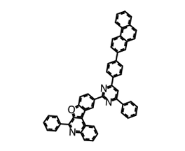 c1ccc(-c2cc(-c3ccc(-c4ccc5c(ccc6ccccc65)c4)cc3)nc(-c3ccc4oc5c(-c6ccccc6)nc6ccccc6c5c4c3)n2)cc1